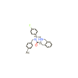 CC(=O)c1ccc(CN(C(=O)[C@@H]2Cc3ccccc3CN2)[C@H](C)c2ccc(F)cc2)cc1